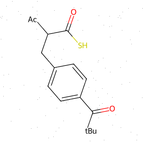 CC(=O)C(Cc1ccc(C(=O)C(C)(C)C)cc1)C(=O)S